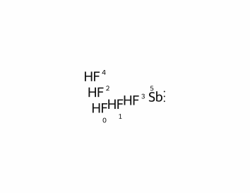 F.F.F.F.F.[Sb]